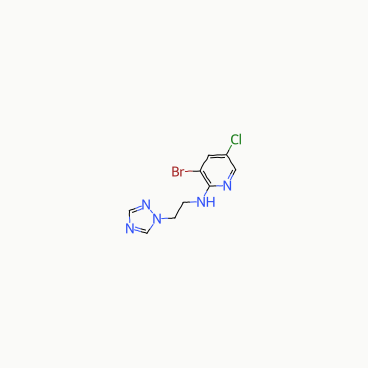 Clc1cnc(NCCn2cncn2)c(Br)c1